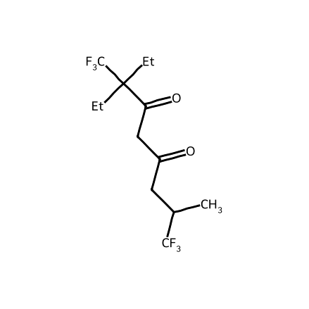 CCC(CC)(C(=O)CC(=O)CC(C)C(F)(F)F)C(F)(F)F